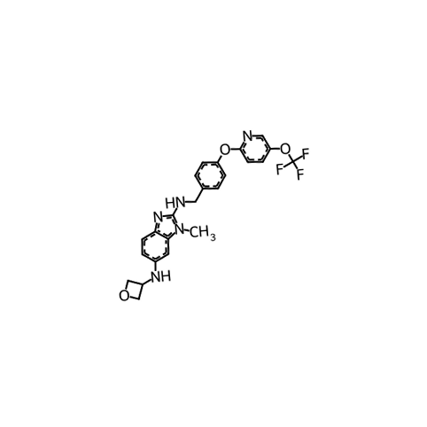 Cn1c(NCc2ccc(Oc3ccc(OC(F)(F)F)cn3)cc2)nc2ccc(NC3COC3)cc21